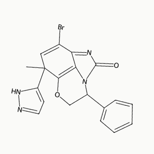 CC1(c2ccn[nH]2)C=C(Br)C2=NC(=O)N3C2=C1OCC3c1ccccc1